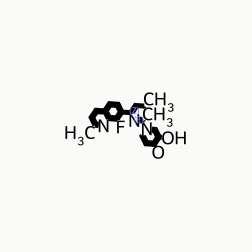 CC/C=C(\N=C(/C)n1ccc(=O)c(O)c1)c1ccc2ccc(C)nc2c1F